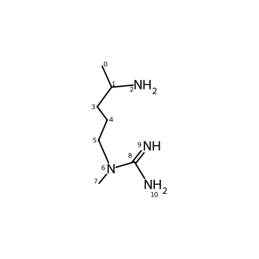 CC(N)CCCN(C)C(=N)N